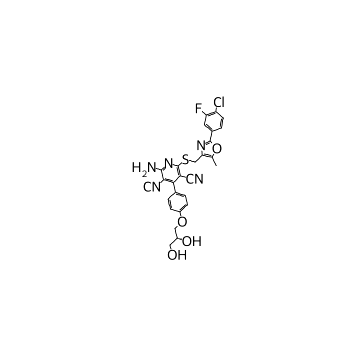 [C-]#[N+]c1c(N)nc(SCc2nc(-c3ccc(Cl)c(F)c3)oc2C)c(C#N)c1-c1ccc(OC[C@@H](O)CO)cc1